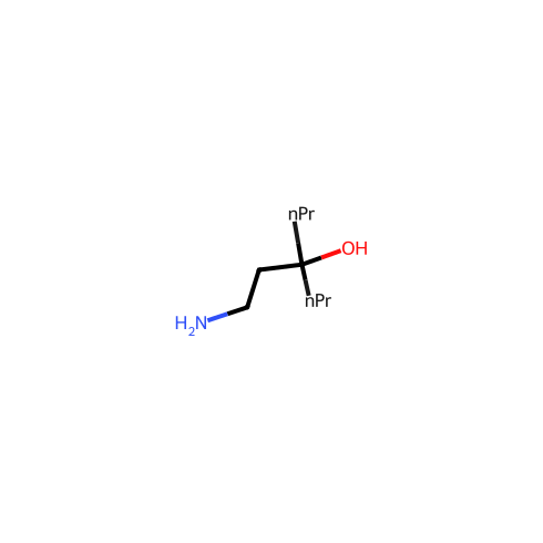 CCCC(O)(CCC)CCN